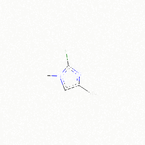 Cn1cc(C(C)(C)C)nc1F